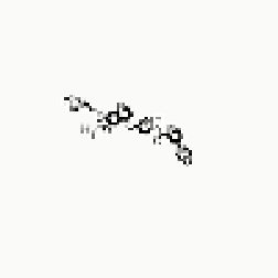 COc1cc2c(Oc3ccc(NC(=O)c4cc(N5CCOCC5)ccn4)nc3)ccnc2cc1OCCCN1CCOCC1